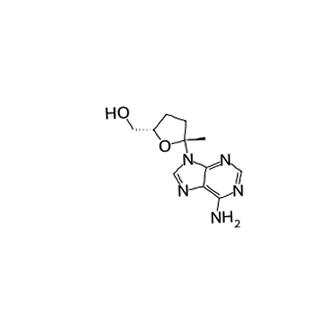 C[C@]1(n2cnc3c(N)ncnc32)CC[C@@H](CO)O1